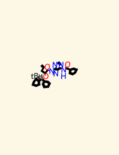 C=C1C[C@@H](O[Si](c2ccccc2)(c2ccccc2)C(C)(C)C)[C@H](n2cnc3c(NC(=O)c4ccccc4)ncnc32)O1